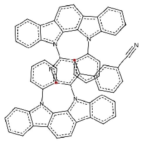 N#Cc1cccc(-c2cc(-n3c4ccccc4c4ccc5c6ccccc6n(-c6ccccc6)c5c43)ncc2-n2c3ccccc3c3ccc4c5ccccc5n(-c5ccccc5)c4c32)c1